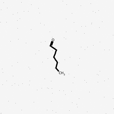 C[CH]CCC[C]=O